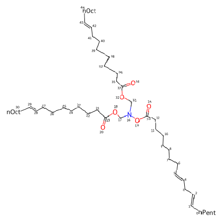 CCCCCC=CCC=CCCCCCCCC(=O)ON(COC(=O)CCCCCCCC=CCCCCCCCC)COC(=O)CCCCCCCC=CCCCCCCCC